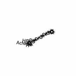 CC(=O)N[C@@H]1[C@@H](O)[C@@H](O)[C@]2(COCCOCCOCCOCCOCc3ccccc3)CC[C@H]1O2